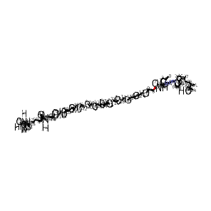 C=C1CC[C@@H](NC(=O)CCOCCOCCOCCOCCOCCOCCOCCOCCOCCOCCOCCOCCNC(=O)CCCC[C@@H]2SC[C@@H]3NC(=O)N[C@@H]32)C/C1=C/C=C1\CCC[C@@]2(C)C1CC[C@@H]2C(C)CCC(C)C(C)(C)O